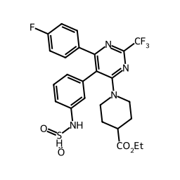 CCOC(=O)C1CCN(c2nc(C(F)(F)F)nc(-c3ccc(F)cc3)c2-c2cccc(N[SH](=O)=O)c2)CC1